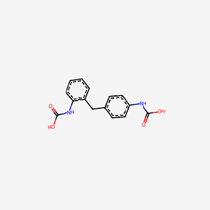 O=C(O)Nc1ccc(Cc2ccccc2NC(=O)O)cc1